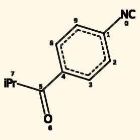 [C-]#[N+]c1ccc(C(=O)C(C)C)cc1